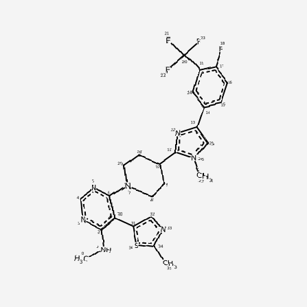 CNc1ncnc(N2CCC(c3nc(-c4ccc(F)c(C(F)(F)F)c4)cn3C)CC2)c1-c1cnc(C)s1